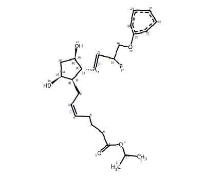 CC(C)OC(=O)CCC/C=C\C[C@@H]1[C@@H](/C=C/C(F)COc2ccccc2)[C@H](O)C[C@@H]1O